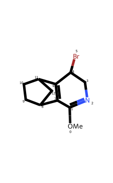 COC1=NCC(Br)C2=C1C1CCC2C1